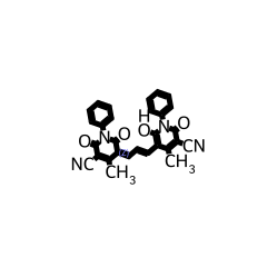 CC1=C(C#N)C(=O)N(c2ccccc2)C(=O)/C1=C\C=Cc1c(C)c(C#N)c(=O)n(-c2ccccc2)c1O